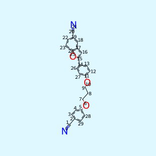 N#Cc1ccc(OCCCOc2ccc(-c3cc4cc(C#N)ccc4o3)cc2)cc1